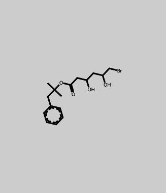 CC(C)(Cc1ccccc1)OC(=O)CC(O)CC(O)CBr